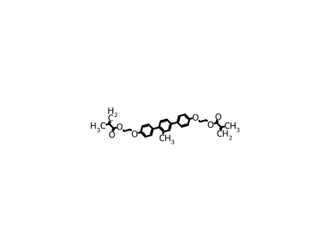 C=C(C)C(=O)OCCOc1ccc(-c2ccc(-c3ccc(OCCOC(=O)C(=C)C)cc3)c(C)c2)cc1